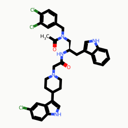 CC(=O)N(Cc1ccc(Cl)c(Cl)c1)C[C@@H](Cc1c[nH]c2ccccc12)NC(=O)CN1CCC(c2c[nH]c3ccc(Cl)cc23)CC1